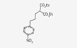 CCOC(=O)C(CCCc1ccc([N+](=O)[O-])cc1)C(=O)OCC